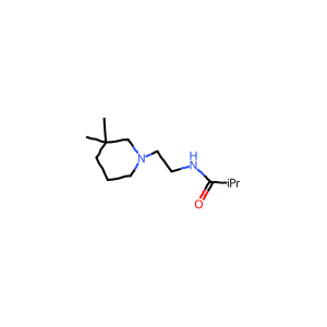 CC(C)C(=O)NCCN1CCCC(C)(C)C1